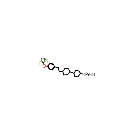 CCCCCC1CCC(C2CCC(CCc3ccc(OC(F)(F)C(F)(F)F)cc3)CC2)CC1